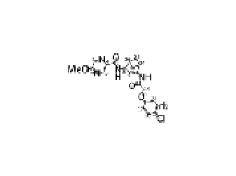 COc1cnc(C(=O)NC2CC(NC(=O)COc3ccc(Cl)c(F)c3)C3CC2C3)cn1